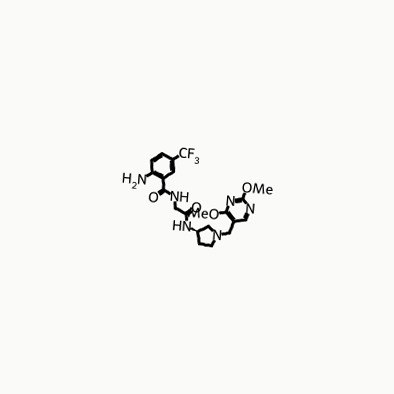 COc1ncc(CN2CC[C@@H](NC(=O)CNC(=O)c3cc(C(F)(F)F)ccc3N)C2)c(OC)n1